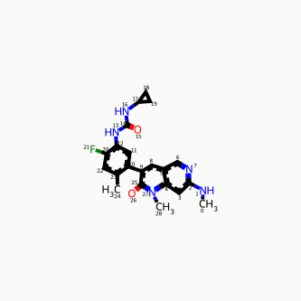 CNc1cc2c(cn1)cc(-c1cc(NC(=O)NC3CC3)c(F)cc1C)c(=O)n2C